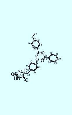 CCc1ccc([C@H](COc2ccc(CC3(C)SC(=O)NC3=O)cc2)OC(=O)c2ccccc2)nc1